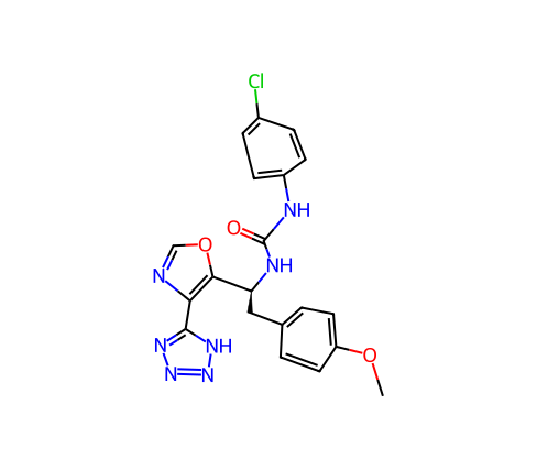 COc1ccc(C[C@H](NC(=O)Nc2ccc(Cl)cc2)c2ocnc2-c2nnn[nH]2)cc1